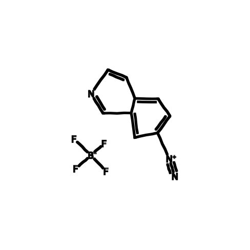 F[B-](F)(F)F.N#[N+]c1ccc2ccncc2c1